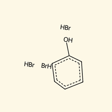 Br.Br.Br.Oc1ccccc1